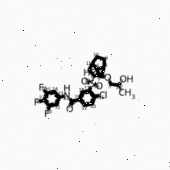 C[C@H](O)COC[C@]1(O)C2CCC1C[C@@H](S(=O)(=O)c1cc(C(=O)Nc3cc(F)c(F)c(F)c3)ccc1Cl)C2